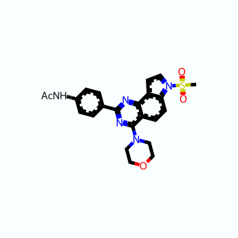 CC(=O)Nc1ccc(-c2nc(N3CCOCC3)c3ccc4c(ccn4S(C)(=O)=O)c3n2)cc1